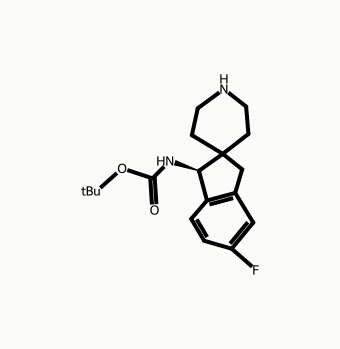 CC(C)(C)OC(=O)N[C@@H]1c2ccc(F)cc2CC12CCNCC2